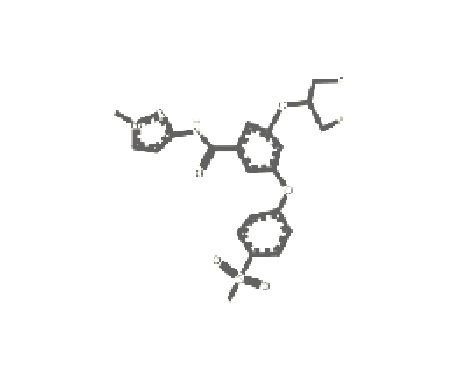 Cn1ccc(NC(=O)c2cc(Oc3ccc(S(C)(=O)=O)cc3)cc(OC(CF)CF)c2)n1